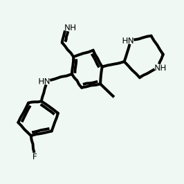 Cc1cc(Nc2ccc(F)cc2)c(C=N)cc1C1CNCCN1